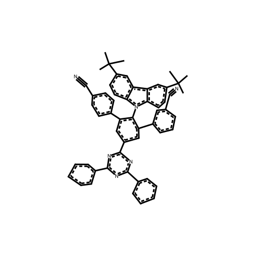 CC(C)(C)c1ccc2c(c1)c1cc(C(C)(C)C)ccc1n2-c1c(-c2ccc(C#N)cc2)cc(-c2nc(-c3ccccc3)nc(-c3ccccc3)n2)cc1-c1cccc(C#N)c1